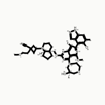 COCCC1(C#N)CC(N2CCC[C@@]3(COc4nc(N5CCOC[C@@](C)(O)C5)c5c(OC)nc(-c6c(Cl)c(C)cc7[nH]ncc67)c(F)c5n4)CCC[C@@H]23)C1